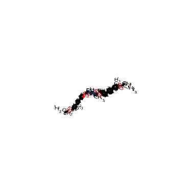 C=C(C)C(=O)Oc1ccc(-c2ccc(-c3ccc(OC(=O)/C(C)=C/C=C(\C)C(=O)Oc4ccc(-c5ccc(-c6ccc(OC(=O)C(=C)C)c(C)c6)cc5)cc4C)cc3)cc2)c(C)c1